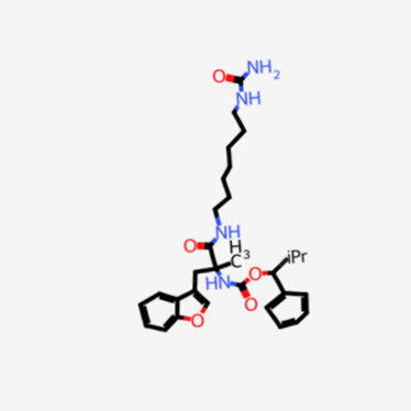 CC(C)C(OC(=O)NC(C)(Cc1coc2ccccc12)C(=O)NCCCCCCCNC(N)=O)c1ccccc1